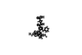 CC(C)(C)c1cc(-c2sc(C(=O)N[C@H]3C[C@H](C(=O)O)C3)nc2CC2CCCCC2)nc(C2(C)CC2)n1